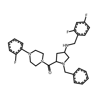 O=C(C1CC(NCc2ccc(F)cc2F)CN1Cc1ccccc1)N1CCN(c2ccccc2F)CC1